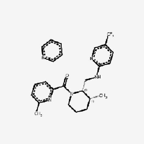 Cc1cccc(C(=O)N2CCC[C@@H](C)[C@H]2CNc2ccc(C(F)(F)F)cn2)n1.c1ccncc1